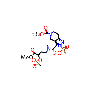 COC(=O)C(CCN(C)C(=O)c1c2c(nn1S(C)(=O)=O)CCN(C(=O)OC(C)(C)C)C2)OS(C)(=O)=O